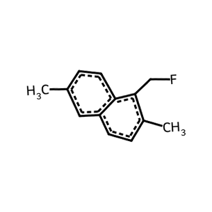 Cc1ccc2c(CF)c(C)ccc2c1